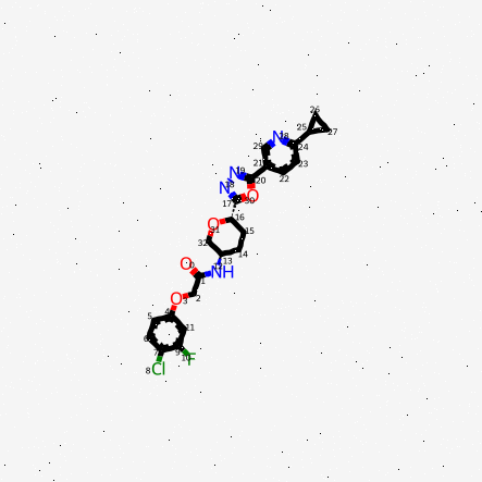 O=C(COc1ccc(Cl)c(F)c1)N[C@@H]1CC[C@@H](c2nnc(-c3ccc(C4CC4)nc3)o2)OC1